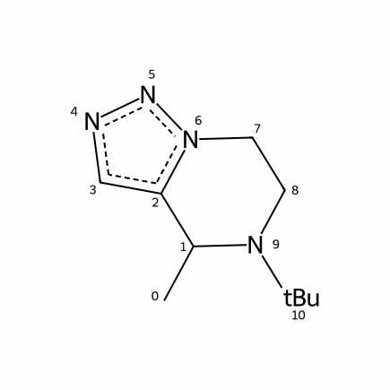 CC1c2cnnn2CCN1C(C)(C)C